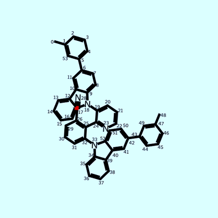 Cc1cccc(-c2ccc3c(c2)c2ccccc2n3-c2cccnc2-c2c(C#N)cccc2-n2c3ccccc3c3cc(-c4cccc(C)c4)ccc32)c1